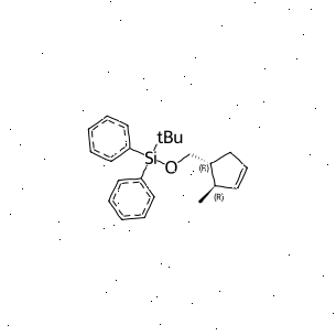 C[C@@H]1C=CC[C@H]1CO[Si](c1ccccc1)(c1ccccc1)C(C)(C)C